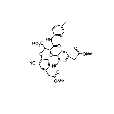 COC(=O)Cc1ccc(OC(C(=O)O)C(Oc2ccc(CC(=O)OC)cc2C#N)C(=O)Nc2ccc(C)cn2)c(C#N)c1